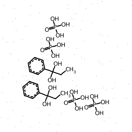 CCC(O)(O)c1ccccc1.CCC(O)(O)c1ccccc1.O=P(O)(O)O.O=P(O)(O)O.O=P(O)(O)O.O=P(O)(O)O